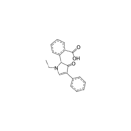 CCN1C=C(c2ccccc2)C(=O)C1c1ccccc1C(=O)O